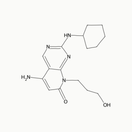 Nc1cc(=O)n(CCCO)c2nc(NC3CCCCC3)ncc12